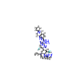 CN/C(=C1/C=C(c2nc(Nc3ccc4c(n3)CCN(C3CCCC3)C4)ncc2F)C=C(F)C1=N)C(C)C